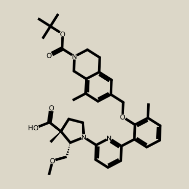 COC[C@H]1N(c2cccc(-c3cccc(C)c3OCc3cc(C)c4c(c3)CCN(C(=O)OC(C)(C)C)C4)n2)CC[C@@]1(C)C(=O)O